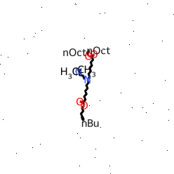 CCCCC#CCCCOC(=O)CCCCCCCN(CCCCCCCC(=O)OC(CCCCCCCC)CCCCCCCC)CCCN(C)C